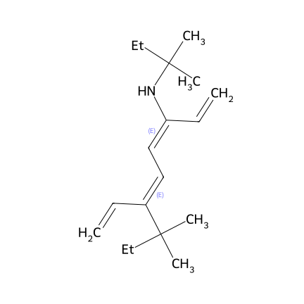 C=C/C(=C\C=C(/C=C)C(C)(C)CC)NC(C)(C)CC